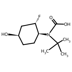 CC(C)(C)N(C(=O)O)[C@H]1CC[C@@H](O)C[C@@H]1F